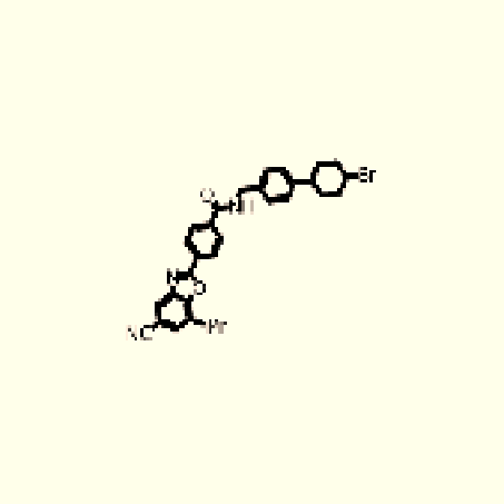 CC(C)c1cc(C#N)cc2nc(-c3ccc(C(=O)NCc4ccc(C5CCC(Br)CC5)cc4)cc3)oc12